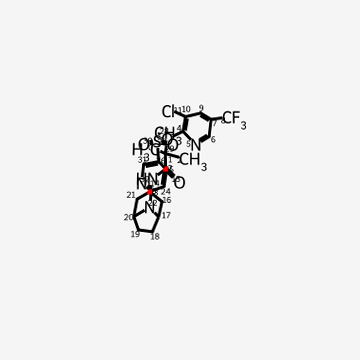 CC(C)(Oc1ncc(C(F)(F)F)cc1Cl)C(=O)NC1CC2CCC(C1)N2c1ccc(S(C)(=O)=O)cn1